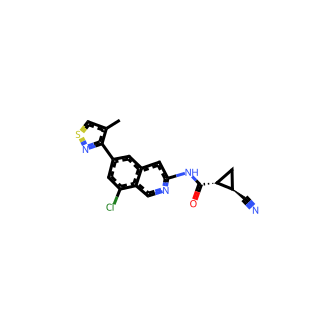 Cc1csnc1-c1cc(Cl)c2cnc(NC(=O)[C@@H]3C[C@H]3C#N)cc2c1